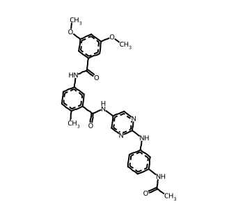 COc1cc(OC)cc(C(=O)Nc2ccc(C)c(C(=O)Nc3cnc(Nc4cccc(NC(C)=O)c4)nc3)c2)c1